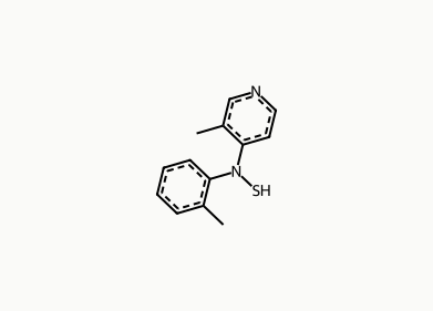 Cc1ccccc1N(S)c1ccncc1C